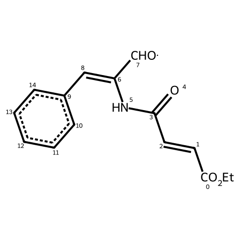 CCOC(=O)C=CC(=O)NC([C]=O)=Cc1ccccc1